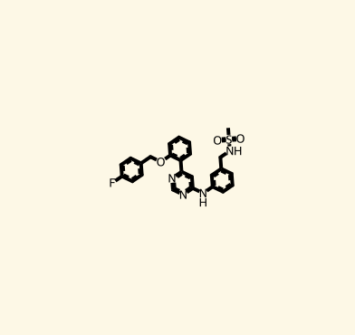 CS(=O)(=O)NCc1cccc(Nc2cc(-c3ccccc3OCc3ccc(F)cc3)ncn2)c1